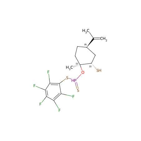 C=C(C)[C@@H]1CC[C@](C)(O[PH](=S)Sc2c(F)c(F)c(F)c(F)c2F)[C@@H](S)C1